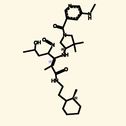 CNc1cncc(C(=O)N2C[C@H](N/C(=C(/C)C(=O)NCCC3CCCC[C@@H]3C)C(CC(C)O)N=O)C(C)(C)C2)c1